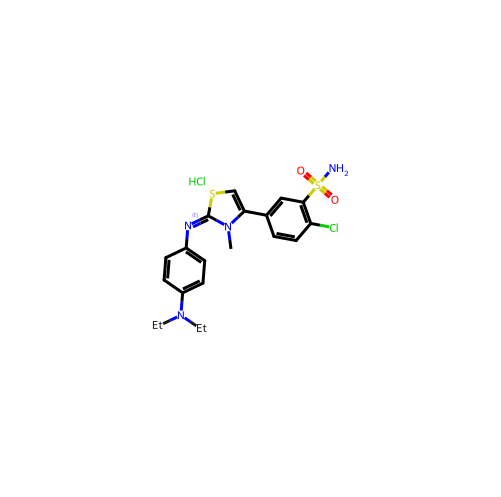 CCN(CC)c1ccc(/N=c2/scc(-c3ccc(Cl)c(S(N)(=O)=O)c3)n2C)cc1.Cl